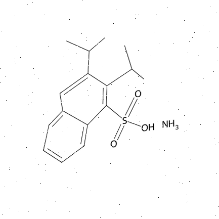 CC(C)c1cc2ccccc2c(S(=O)(=O)O)c1C(C)C.N